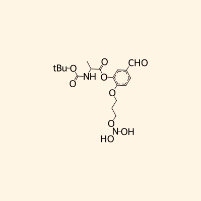 CC(NC(=O)OC(C)(C)C)C(=O)Oc1cc(C=O)ccc1OCCCON(O)O